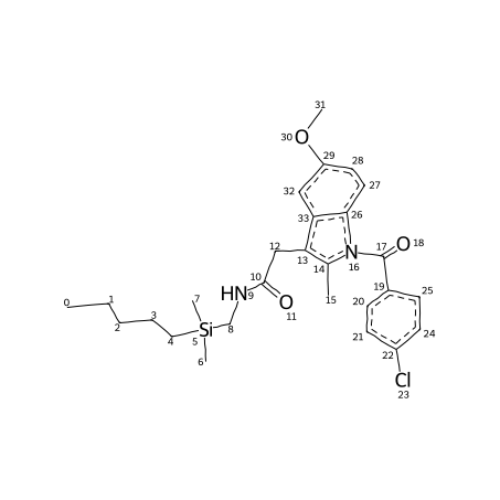 CCCCC[Si](C)(C)CNC(=O)Cc1c(C)n(C(=O)c2ccc(Cl)cc2)c2ccc(OC)cc12